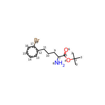 CC(C)(C)OC(=O)C(N)CCCc1ccccc1Br